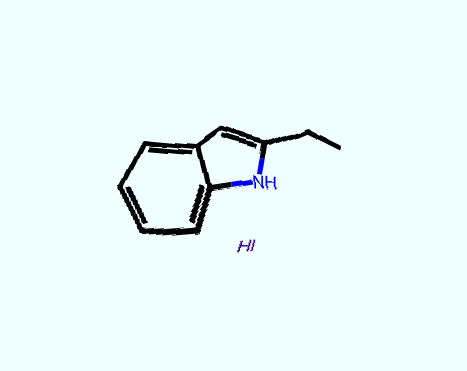 CCc1cc2ccccc2[nH]1.I